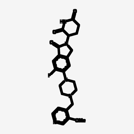 COc1cnccc1CN1CCN(c2cc3c(cc2F)C(=O)N(C2CCC(=O)NC2=O)C3)CC1